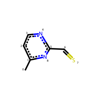 Cc1ccnc(C=S)n1